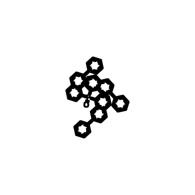 O=P(c1cccc2ccc(-c3ccccc3)cc12)(c1cccc2ccc(-c3ccccc3)cc12)c1cccc2ccc(-c3ccccc3)cc12